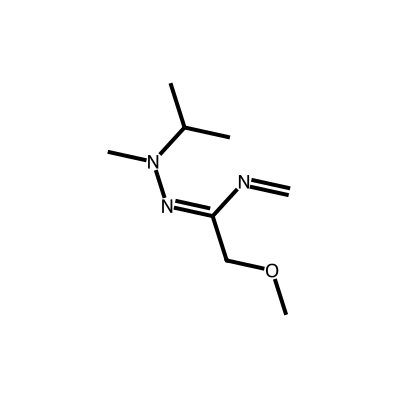 C=N/C(COC)=N\N(C)C(C)C